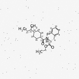 CCOC(=O)[C@@H](Cc1ccccc1F)NC(=O)C1CCC(C(C)CC)CC1